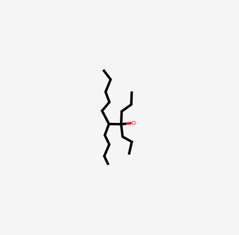 CCCCCC(CCCC)C([O])(CCC)CCC